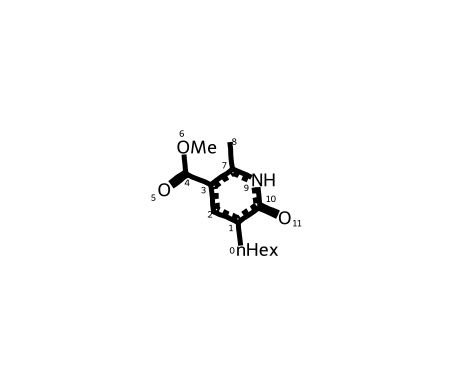 CCCCCCc1cc(C(=O)OC)c(C)[nH]c1=O